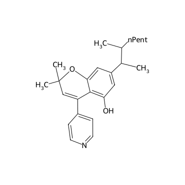 CCCCCC(C)C(C)c1cc(O)c2c(c1)OC(C)(C)C=C2c1ccncc1